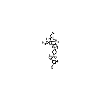 Cc1nn(-c2nc(N3CCN(C(=O)N4N=CC[C@H]4c4cc(F)cc(C#N)c4)CC3)ncc2F)c(C)c1NC(=O)CC1CC1